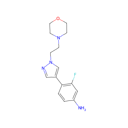 Nc1ccc(-c2cnn(CCN3CCOCC3)c2)c(F)c1